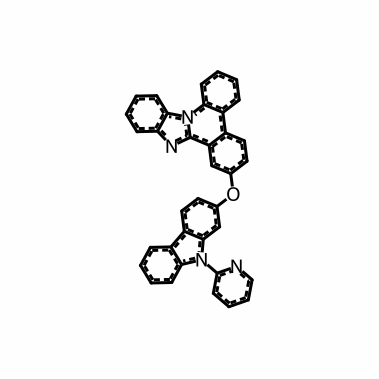 c1ccc(-n2c3ccccc3c3ccc(Oc4ccc5c6ccccc6n6c7ccccc7nc6c5c4)cc32)nc1